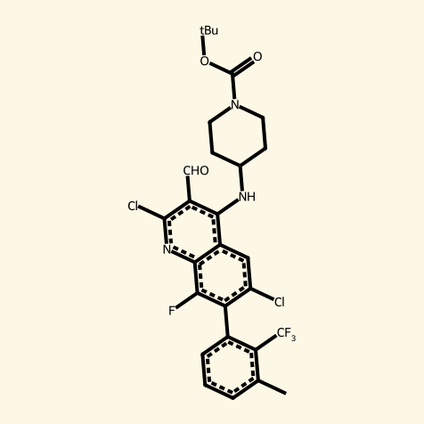 Cc1cccc(-c2c(Cl)cc3c(NC4CCN(C(=O)OC(C)(C)C)CC4)c(C=O)c(Cl)nc3c2F)c1C(F)(F)F